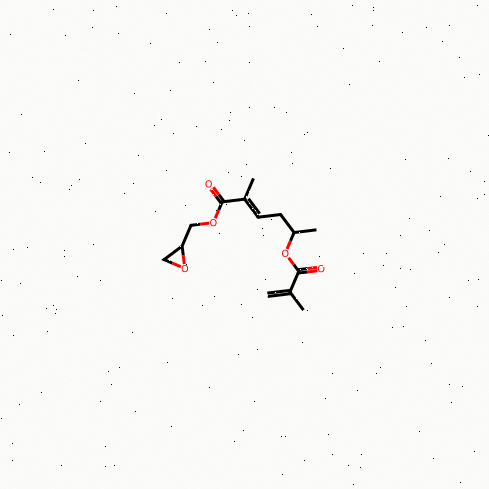 C=C(C)C(=O)OC(C)CC=C(C)C(=O)OCC1CO1